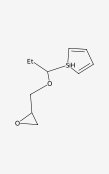 CCC(OCC1CO1)[SiH]1C=CC=C1